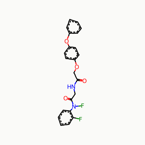 O=C(COc1ccc(Oc2ccccc2)cc1)NCC(=O)N(F)c1ccccc1F